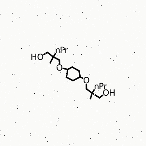 CCCC(C)(CO)COC1CCC(OCC(C)(CO)CCC)CC1